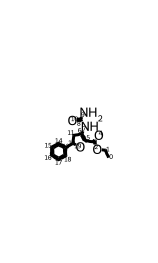 CCOC(=O)C1=C(NC(N)=O)CC(c2ccccc2)O1